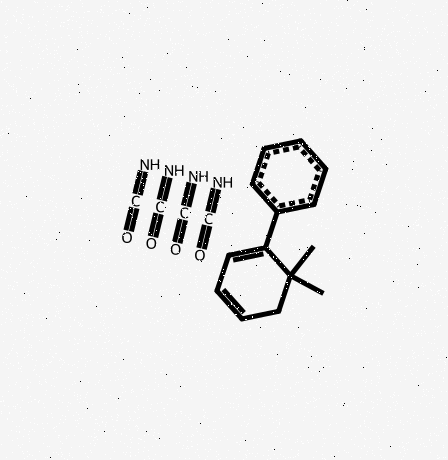 CC1(C)CC=CC=C1c1ccccc1.N=C=O.N=C=O.N=C=O.N=C=O